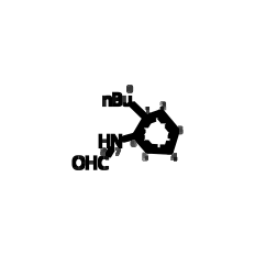 CCCCc1ccccc1NC=O